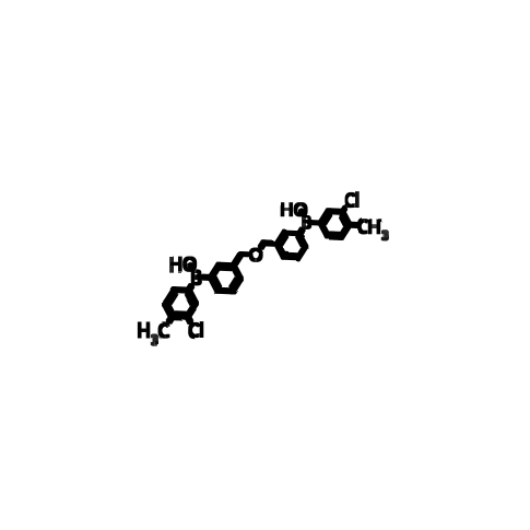 Cc1ccc(B(O)c2cccc(COCc3cccc(B(O)c4ccc(C)c(Cl)c4)c3)c2)cc1Cl